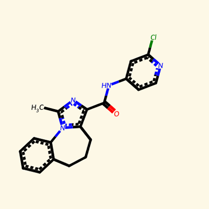 Cc1nc(C(=O)Nc2ccnc(Cl)c2)c2n1-c1ccccc1CCC2